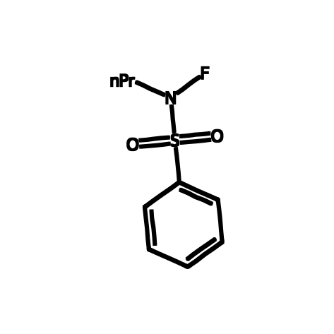 CCCN(F)S(=O)(=O)c1ccccc1